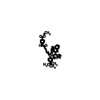 CCOC(=O)c1ccc(NC(=O)CCCCCOc2ccc(C(C)(C)C)cc2NC(=O)C(C2=Nc3ccccc3S(=O)(=O)N2C)n2ccnc2)cc1